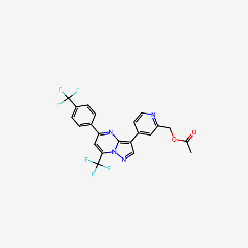 CC(=O)OCc1cc(-c2cnn3c(C(F)(F)F)cc(-c4ccc(C(F)(F)F)cc4)nc23)ccn1